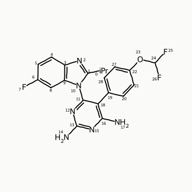 CC(C)c1nc2ccc(F)cc2n1-c1nc(N)nc(N)c1-c1ccc(OC(F)F)cc1